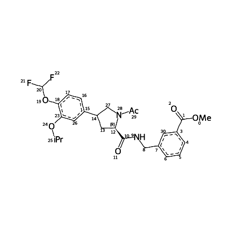 COC(=O)c1cccc(CNC(=O)[C@H]2CC(c3ccc(OC(F)F)c(OC(C)C)c3)CN2C(C)=O)c1